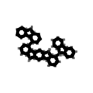 c1ccc2c(c1)oc1cccc(-c3cccc4oc5cc6c(cc5c34)oc3c(-n4c5ccccc5c5ccccc54)cccc36)c12